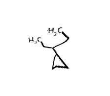 [CH2]CC(CC)C1CC1